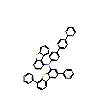 c1ccc(-c2ccc(-c3ccc(N(c4cc(-c5ccccc5)cc5c4sc4c(-c6ccccc6)cccc45)c4cccc5sc6ccccc6c45)cc3)cc2)cc1